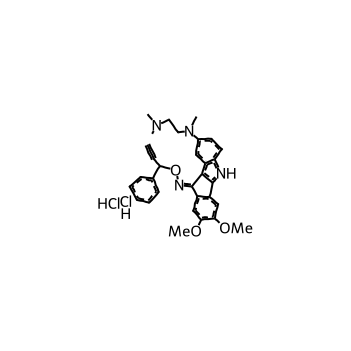 C#CC(O/N=C1/c2cc(OC)c(OC)cc2-c2[nH]c3ccc(N(C)CCN(C)C)cc3c21)c1ccccc1.Cl.Cl